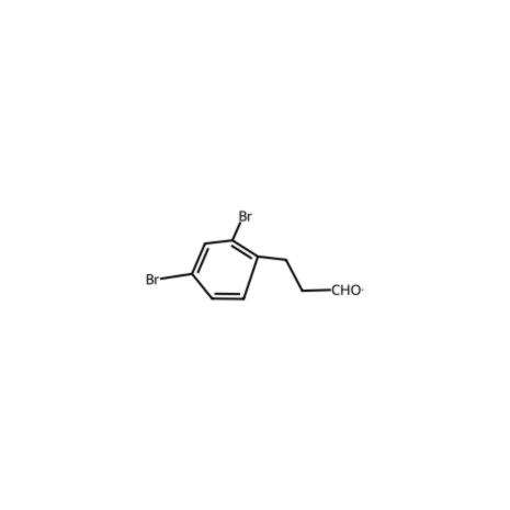 O=[C]CCc1ccc(Br)cc1Br